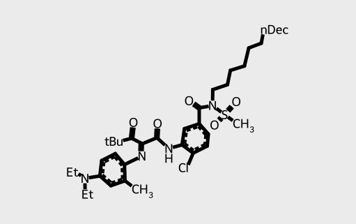 CCCCCCCCCCCCCCCCN(C(=O)c1ccc(Cl)c(NC(=O)C(=Nc2ccc(N(CC)CC)cc2C)C(=O)C(C)(C)C)c1)S(C)(=O)=O